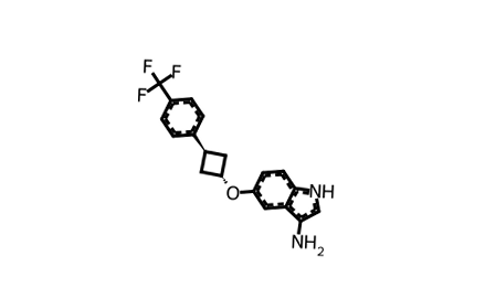 Nc1c[nH]c2ccc(O[C@H]3C[C@H](c4ccc(C(F)(F)F)cc4)C3)cc12